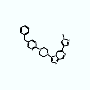 Cn1cc(-c2cn3c(N4CCN(c5ncc(Cc6ccccc6)cn5)CC4)cnc3cn2)cn1